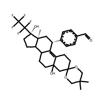 CC1(C)COC2(CCC3=C4C(CCC3(O)C2)C2CC[C@@](O)(C(F)(F)C(F)(F)F)[C@@]2(C)C[C@@H]4c2ccc(C=O)cc2)OC1